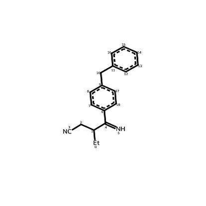 CCC(CC#N)C(=N)c1ccc(Cc2ccccc2)cc1